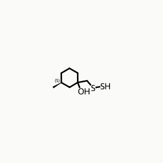 C[C@H]1CCCC(O)(CSS)C1